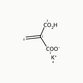 C=C(C(=O)[O-])C(=O)O.[K+]